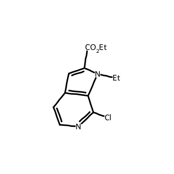 CCOC(=O)c1cc2ccnc(Cl)c2n1CC